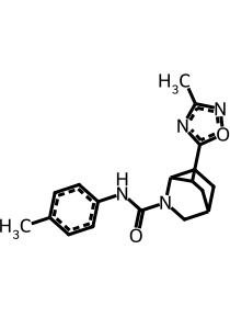 Cc1ccc(NC(=O)N2CC3CCC2C(c2nc(C)no2)C3)cc1